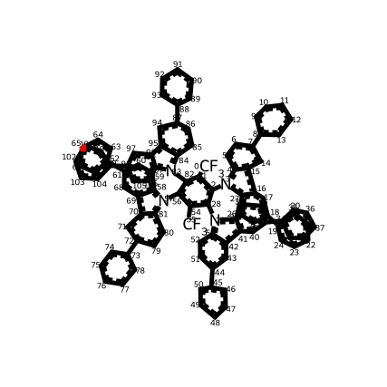 FC(F)(F)c1c(-n2c3ccc(-c4ccccc4)cc3c3cc(-c4ccccc4)ccc32)c(-n2c3ccc(-c4ccccc4)cc3c3cc(-c4ccccc4)ccc32)c(C(F)(F)F)c(-n2c3ccc(-c4ccccc4)cc3c3cc(-c4ccccc4)ccc32)c1-n1c2ccc(-c3ccccc3)cc2c2cc(-c3ccccc3)ccc21